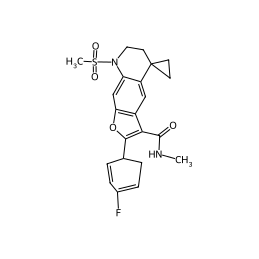 CNC(=O)c1c(C2C=CC(F)=CC2)oc2cc3c(cc12)C1(CCN3S(C)(=O)=O)CC1